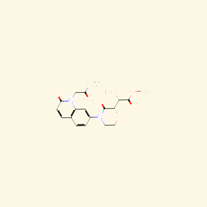 COC(=O)Cn1c(=O)ccc2ccc(N3CCO[C@H]([C@@H](O)C(=O)OC(C)(C)C)C3=O)cc21